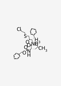 CC(C)C[C@H](NC(=O)OCc1ccccc1)C(=O)N[C@@H](Cc1ccccc1)C(=O)CSCCCl